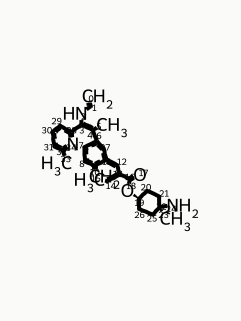 C=CN/C(=C(\C)c1ccc(=C)/c(=C\C(=C/C)C(=O)O[C@H]2CC[C@](C)(N)CC2)c1)c1cccc(C)n1